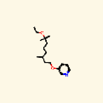 CCOC(C)(C)CCCC(C)CCOc1cccnc1